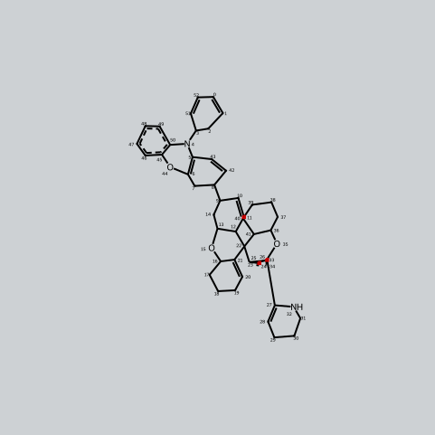 C1=CCC(N2C3=C(CC(C4C=CC5C(C4)OC4CCCC=C4C54C5C=CC(C6=CCCCN6)CC5OC5CCCCC54)C=C3)Oc3ccccc32)C=C1